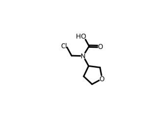 O=C(O)N(CCl)C1CCOC1